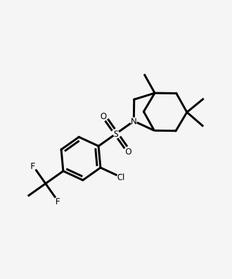 CC1(C)CC2CC(C)(CN2S(=O)(=O)c2ccc(C(C)(F)F)cc2Cl)C1